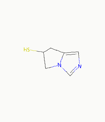 SC1Cc2cncn2C1